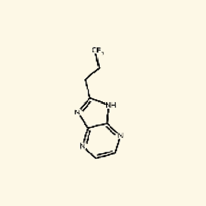 FC(F)(F)CCc1nc2nccnc2[nH]1